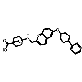 O=C(O)C12CCC(NCc3ccc4cc(OC5CCC(c6ccccc6)CC5)ccc4n3)(CC1)CC2